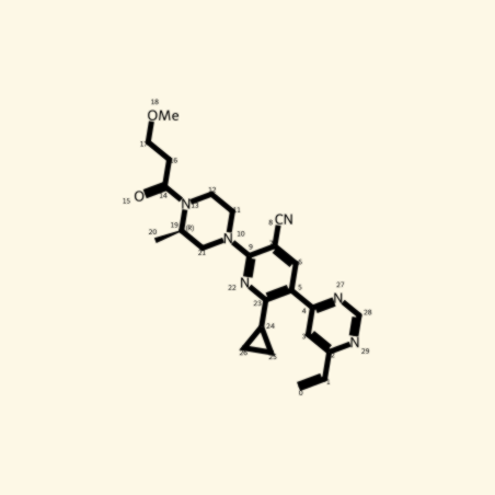 C=Cc1cc(-c2cc(C#N)c(N3CCN(C(=O)CCOC)[C@H](C)C3)nc2C2CC2)ncn1